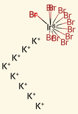 [Br][Ir-8]([Br])([Br])([Br])([Br])([Br])([Br])([Br])([Br])([Br])([Br])[Br].[K+].[K+].[K+].[K+].[K+].[K+].[K+].[K+]